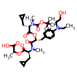 CCN(CCO)c1ccc(C[C@@H](OC(=O)[C@H](CC2CC2)N(C)C(=O)OC(C)(C)C)C(=O)N(C)[C@@H](CC2CC2)C(=O)O[C@H](C)C(=O)O)cc1